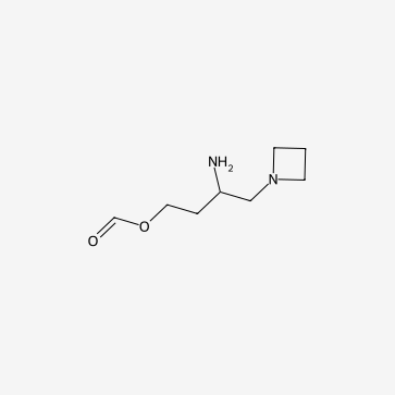 NC(CCOC=O)CN1CCC1